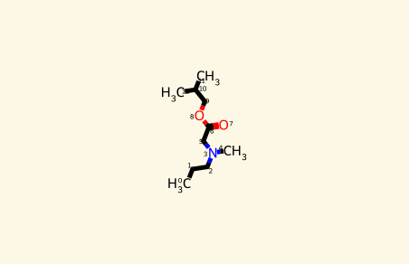 CCCN(C)CC(=O)OCC(C)C